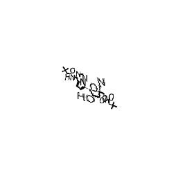 CC(C)(C)CC(=O)Nc1ncnn2c([C@@H]3O[C@](C#N)(COC(=O)CC(C)(C)C)[C@@H](O)[C@H]3O)ccc12